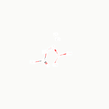 O=[Si](O)O.OB(O)O.[Zn].[Zn]